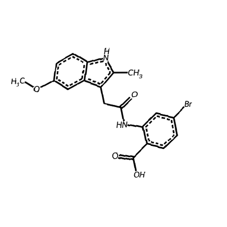 COc1ccc2[nH]c(C)c(CC(=O)Nc3cc(Br)ccc3C(=O)O)c2c1